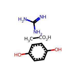 CC(=O)O.N=C(N)N.Oc1ccc(O)cc1